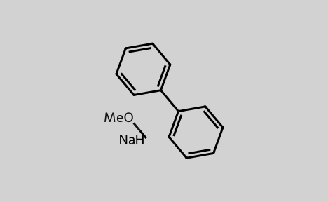 COC.[NaH].c1ccc(-c2ccccc2)cc1